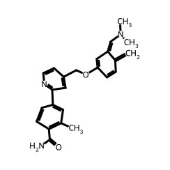 C=c1ccc(OCc2ccnc(-c3ccc(C(N)=O)c(C)c3)c2)c/c1=C/N(C)C